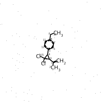 C=C(C)C1C(c2ccc(CC)cc2)C1(Cl)Cl